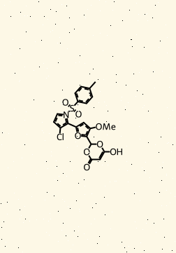 COc1cc(-c2c(Cl)ccn2S(=O)(=O)c2ccc(C)cc2)oc1C1OC(=O)C=C(O)O1